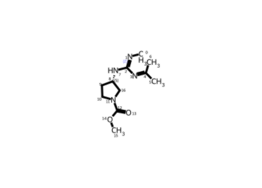 C/N=C(\N=C(C)C)N[C@H]1CCN(C(=O)OC)C1